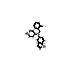 Fc1ccccc1CN(c1ccc2[nH]ccc2c1)C1CCNCC1